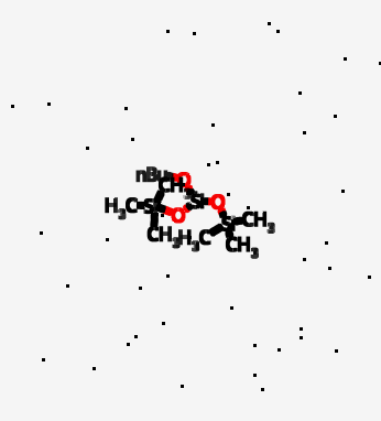 CCCCO[Si](O[Si](C)(C)C)O[Si](C)(C)C